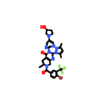 Cc1cc(C)n(-c2nc3c(c(=O)n2-c2ncc(N4CCC(O)C4)cn2)CC(C)N(C(=O)c2ccc(Br)c(C(F)(F)F)c2)C3)n1